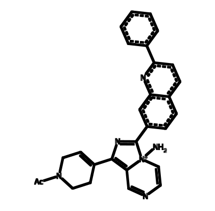 CC(=O)N1CC=C(C2=C3C=NC=C[N+]3(N)C(c3ccc4ccc(-c5ccccc5)nc4c3)=N2)CC1